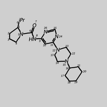 CC(C)C1CCCN1C(=O)Nc1cc(N2CCN(C3CCCCC3)CC2)ncn1